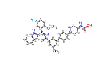 COc1ccc(F)cc1[C@@H](NC(=O)c1cc(C)cc(-c2ccc(N3CCC(NC(=O)O)CC3)cc2)c1)c1cc2ccccc2[nH]1